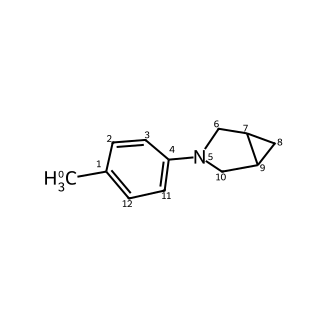 Cc1ccc(N2CC3CC3C2)cc1